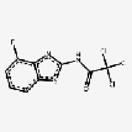 O=C(Nc1nc2c(F)cccc2s1)C(Cl)(Cl)Cl